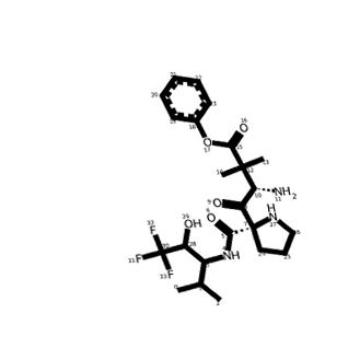 CC(C)C(NC(=O)[C@@]1(C(=O)[C@@H](N)C(C)(C)C(=O)Oc2ccccc2)CCCN1)C(O)C(F)(F)F